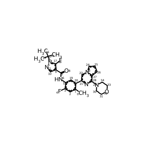 Cc1cc(F)c(NC(=O)c2cnn(C(C)(C)C)c2F)cc1-c1cn2cccc2c(N2CCOCC2)n1